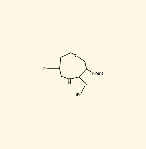 CCCCCC1CCCCC(C(C)C)CNC1NC(C)C